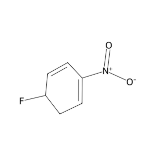 O=[N+]([O-])C1=CCC(F)C=C1